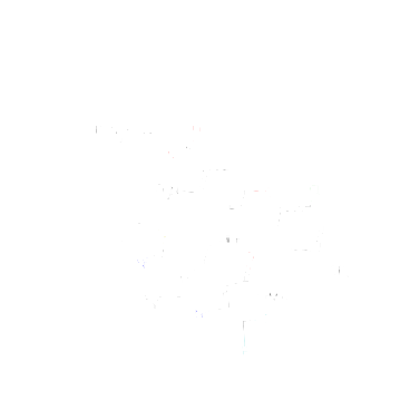 CCOC(=O)COC(=O)c1cc(Oc2ccc(C(F)(F)F)cc2Cl)ccc1[N+](=O)[O-].COC(=O)c1c(C(F)F)nc(C(F)(F)F)c(C2=NCCS2)c1CC(C)C